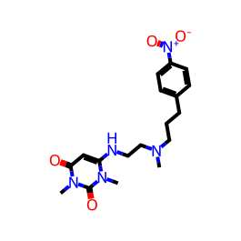 CN(CCCc1ccc([N+](=O)[O-])cc1)CCNc1cc(=O)n(C)c(=O)n1C